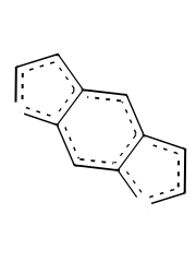 [c]1coc2[c]c3occc3[c]c12